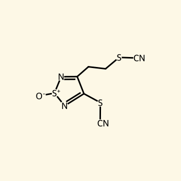 N#CSCCc1n[s+]([O-])nc1SC#N